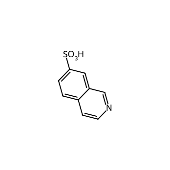 O=S(=O)(O)c1ccc2ccncc2c1